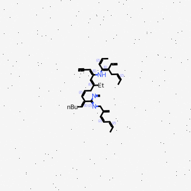 C#C/C=C(\C=C(/CC)C\C=C/C(=C\CCCC)C(/N=C)=N/CC(=C)/C=C\C=C/C)NC(/C=C\C)=C(/C=C)C/C=C\C